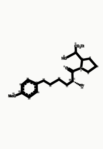 CCOC(=O)C(O)C1CCCN1C(=O)[C@@H](CCCCc1ccc(OC)cc1)C(C)C